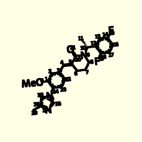 COc1cc(/C=C2\CCCN([C@H](C)c3cc(F)ccc3F)C2=O)ccc1-n1cnc(C)c1